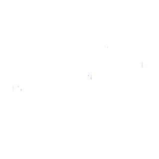 C=CC(=O)N1CCC2(CC1)CC2N